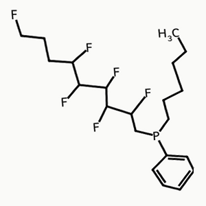 CCCCCCP(CC(F)C(F)C(F)C(F)C(F)CCCF)c1ccccc1